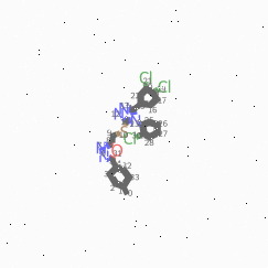 Cc1ccc(-c2nnc(CSc3nnc(-c4ccc(Cl)c(Cl)c4)n3-c3ccccc3Cl)o2)cc1